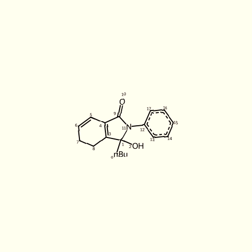 CCCCC1(O)C2=C(C=CCC2)C(=O)N1c1ccccc1